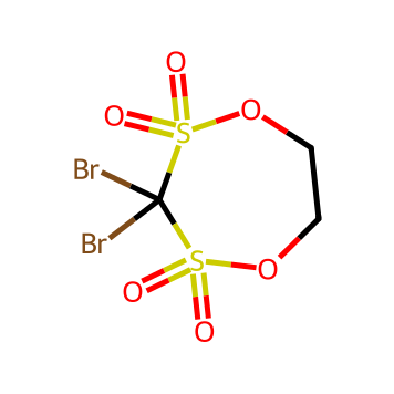 O=S1(=O)OCCOS(=O)(=O)C1(Br)Br